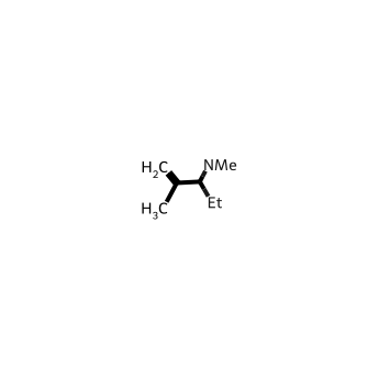 C=C(C)C(CC)NC